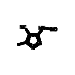 Cc1nsc(NN=O)c1C#N